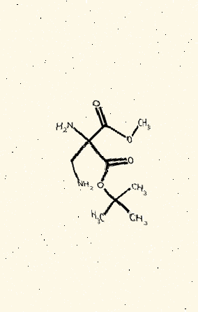 COC(=O)C(N)(CN)C(=O)OC(C)(C)C